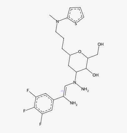 CN(CCCC1CC(N(N)/C=C(\N)c2cc(F)c(F)c(F)c2)C(O)C(CO)O1)c1cccs1